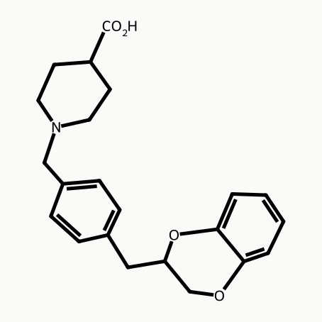 O=C(O)C1CCN(Cc2ccc(CC3COc4ccccc4O3)cc2)CC1